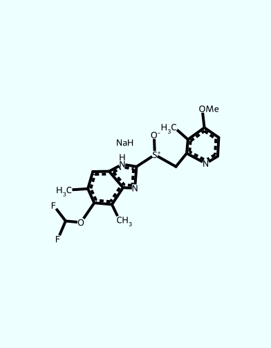 COc1ccnc(C[S+]([O-])c2nc3c(C)c(OC(F)F)c(C)cc3[nH]2)c1C.[NaH]